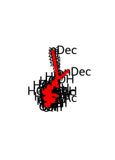 CCCCCCCCCCCCC/C=C/[C@@H](O)[C@H](CO[C@@H]1OC(CO)[C@@H](O[C@@H]2OC(CO)[C@H](O[C@@H]3OC(CO)[C@H](O)[C@H](O[C@@H]4OC(CO)[C@H](O)[C@H](O[C@H]5OC(CO)[C@H](O)[C@H](O)C5O)C4O[C@H]4OC(C)[C@@H](O)C(O)[C@@H]4O)C3NC(C)=O)[C@H](O[C@]3(C(=O)O)CC(O)[C@@H](NC(C)=O)C([C@H](O)[C@H](O)CO)O3)C2O)[C@H](O)C1O)NC(=O)CCCCCCCCCCCCCCCCCCCCCCCCC